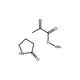 C=C(C)C(=O)OCCCC.O=C1CCCN1